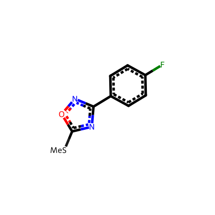 CSc1nc(-c2ccc(F)cc2)no1